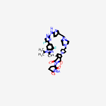 Cc1nc2c(F)cc(-c3nc(Nc4ccc(CN5CCN(CC6CCN(c7ccc8c(c7)C(=O)N(C7CCC(=O)NC7=O)C8=O)CC6)CC5)cn4)ncc3F)cc2n1C(C)C